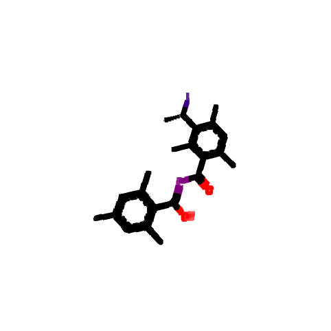 Cc1cc(C)c(/C(O)=P/C(=O)c2c(C)cc(C)c([C@H](C)I)c2C)c(C)c1